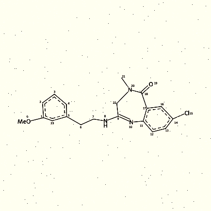 COc1cccc(CCNC2=Nc3ccc(Cl)cc3C(=O)N(C)C2)c1